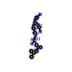 N#C/C(=C\c1ccc2c(c1)C1CCCC1N2c1ccc(C=C(c2ccccc2)c2ccccc2)cc1)C(=O)NCC[n+]1ccc(-c2cc[n+](Cc3cc(C[n+]4ccc(C#N)cc4)cc(C[n+]4ccc(C#N)cc4)c3)cc2)cc1